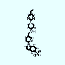 CCc1cnc(N2CCC(NCc3ccc(-n4ccc5cc(S(C)(=O)=O)ccc54)nc3)CC2)nc1